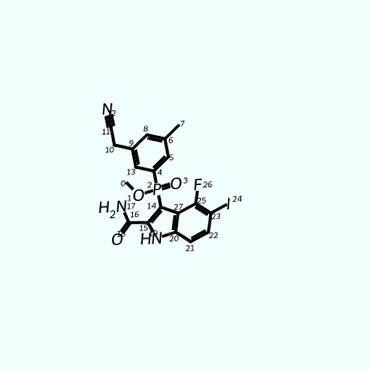 COP(=O)(c1cc(C)cc(CC#N)c1)c1c(C(N)=O)[nH]c2ccc(I)c(F)c12